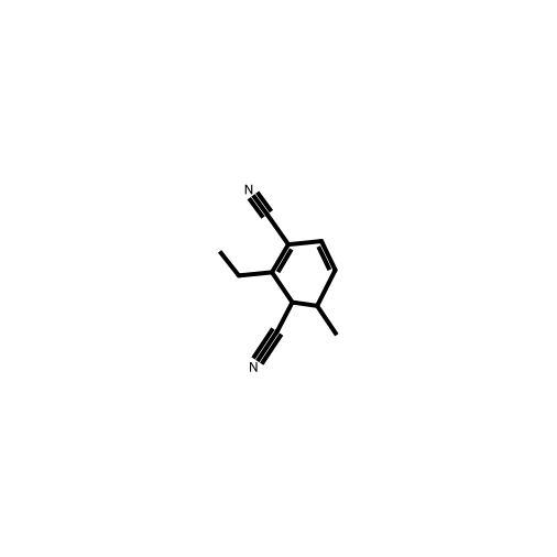 CCC1=C(C#N)C=CC(C)C1C#N